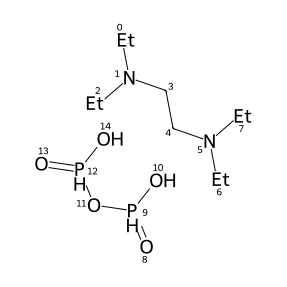 CCN(CC)CCN(CC)CC.O=[PH](O)O[PH](=O)O